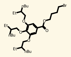 CCCCC(CC)COc1cc(C(=O)OCCCCBr)cc(OCC(CC)CCCC)c1OCC(CC)CCCC